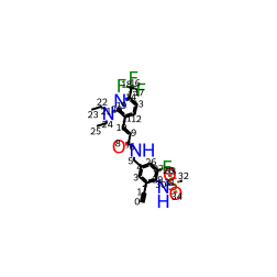 C#Cc1cc(CNC(=O)C=Cc2ccc(C(F)(F)F)nc2N(CC)CC)cc(F)c1NS(C)(=O)=O